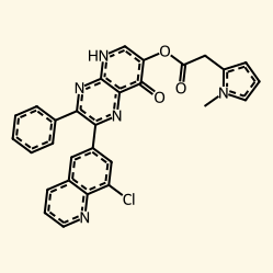 Cn1cccc1CC(=O)Oc1c[nH]c2nc(-c3ccccc3)c(-c3cc(Cl)c4ncccc4c3)nc2c1=O